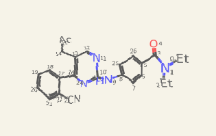 CCN(CC)C(=O)c1ccc(Nc2ncc(CC(C)=O)c(-c3ccccc3C#N)n2)cc1